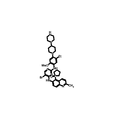 CCc1cc(Nc2ncc(Br)c(Nc3ccc4nc(C)ccc4c3P3(=O)CCCC3)n2)c(OC)cc1N1CCC(N2CCNCC2)CC1